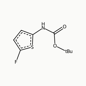 CC(C)(C)OC(=O)Nc1ccc(F)s1